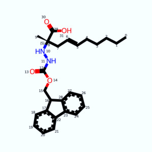 CCCCCC=CC[C@](C)(NNC(=O)OCC1c2ccccc2-c2ccccc21)C(=O)O